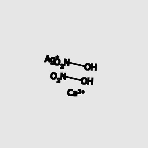 O=[N+]([O-])O.O=[N+]([O-])O.[Ag+].[Ca+2]